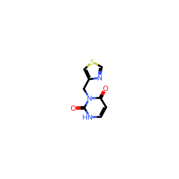 O=c1cc[nH]c(=O)n1Cc1cscn1